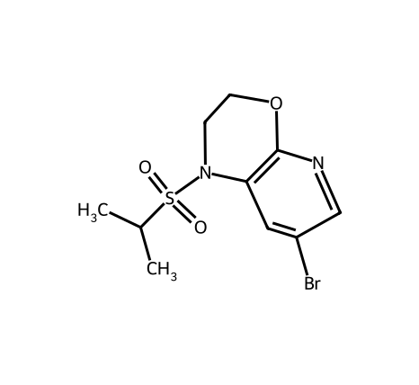 CC(C)S(=O)(=O)N1CCOc2ncc(Br)cc21